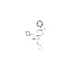 CN[C@]1(c2ccccc2)CC[C@]2(CC1)CN(CCS(C)(=O)=O)C(=O)N2CC1(O)CCC1